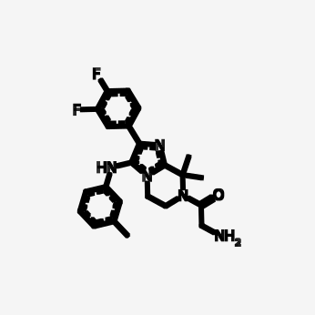 Cc1cccc(Nc2c(-c3ccc(F)c(F)c3)nc3n2CCN(C(=O)CN)C3(C)C)c1